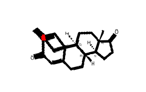 C#CCC12C=CC(=O)C=C1CC[C@@H]1[C@@H]2CC[C@]2(C)C(=O)CC[C@@H]12